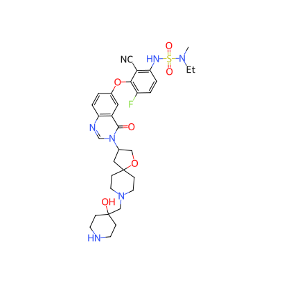 CCN(C)S(=O)(=O)Nc1ccc(F)c(Oc2ccc3ncn(C4COC5(CCN(CC6(O)CCNCC6)CC5)C4)c(=O)c3c2)c1C#N